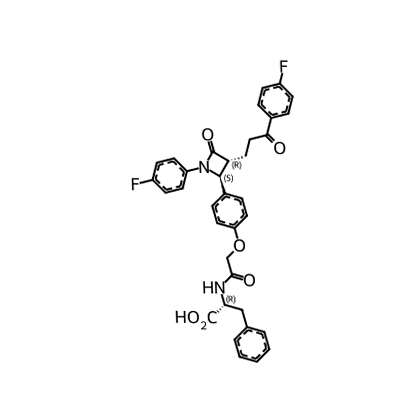 O=C(COc1ccc([C@@H]2[C@@H](CCC(=O)c3ccc(F)cc3)C(=O)N2c2ccc(F)cc2)cc1)N[C@H](Cc1ccccc1)C(=O)O